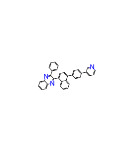 c1ccc(-c2nc3ccccc3nc2-c2ccc(-c3ccc(-c4cccnc4)cc3)c3ccccc23)cc1